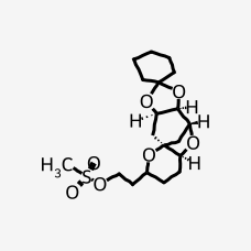 CS(=O)(=O)OCCC1CC[C@@H]2O[C@@H]3C[C@]2(C[C@H]2OC4(CCCCC4)O[C@@H]32)O1